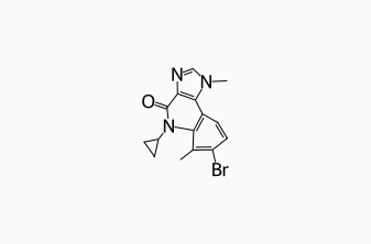 Cc1c(Br)ccc2c3c(ncn3C)c(=O)n(C3CC3)c12